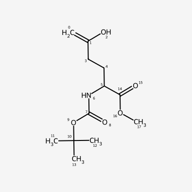 C=C(O)CCC(NC(=O)OC(C)(C)C)C(=O)OC